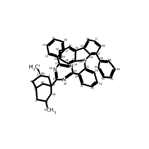 CC1CC2C[C@@H](C)CC(c3nc(-c4ccccc4)nc(-c4ccccc4-n4c5ccccc5c5cccc(-c6ccccc6)c54)n3)(C1)C2